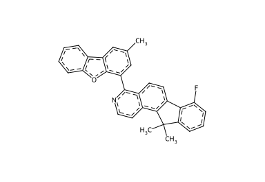 Cc1cc(-c2nccc3c4c(ccc23)-c2c(F)cccc2C4(C)C)c2oc3ccccc3c2c1